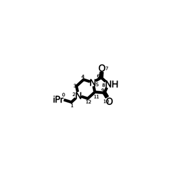 CC(C)CN1CCN2C(=O)NC(=O)C2C1